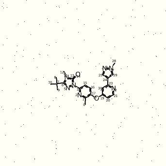 Cc1nc(-n2nc(C(C)(C)C)n(C)c2=O)ccc1Oc1ccnc(-c2cnn(C)c2)c1